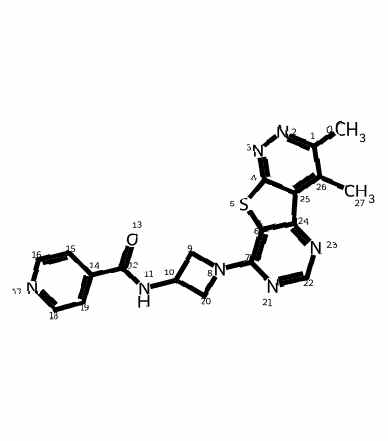 Cc1nnc2sc3c(N4CC(NC(=O)c5ccncc5)C4)ncnc3c2c1C